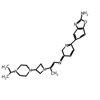 C/C(=C\N=C1\C=CC(c2ccc3oc(N)nc3c2)=NC1)N1CC(N2CCN(C(C)C)CC2)C1